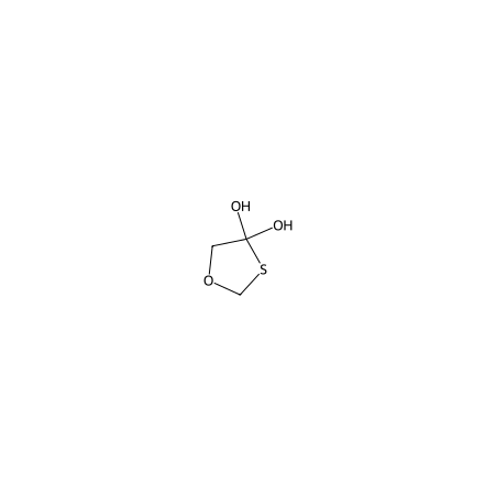 OC1(O)COCS1